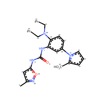 Cc1cc(NC(=O)Nc2cc(-n3cccc3C(=O)O)ccc2N(CC(C)C)CC(C)C)on1